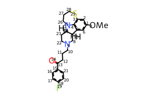 COc1cc2c3c(c1)[C@H]1CN(CCCC(=O)c4ccc(F)cc4)CC[C@H]1N3CCCS2